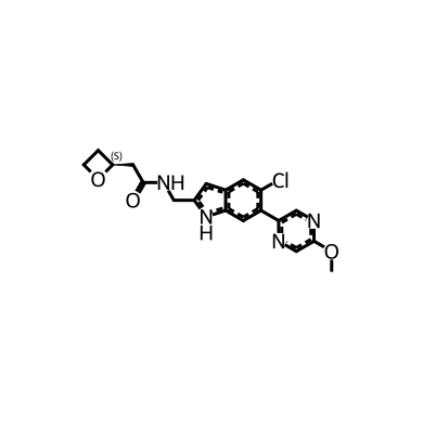 COc1cnc(-c2cc3[nH]c(CNC(=O)C[C@@H]4CCO4)cc3cc2Cl)cn1